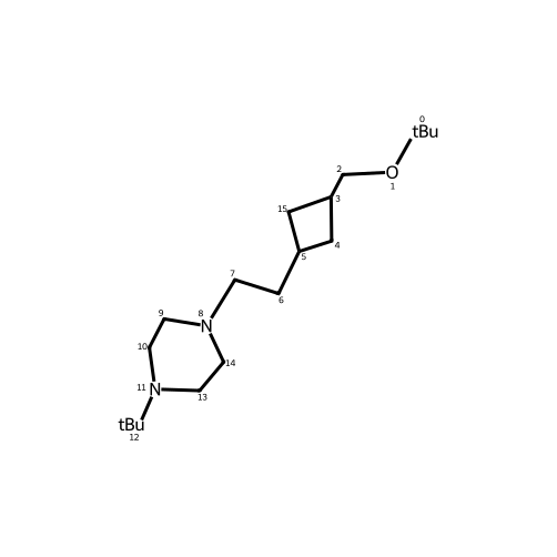 CC(C)(C)OCC1CC(CCN2CCN(C(C)(C)C)CC2)C1